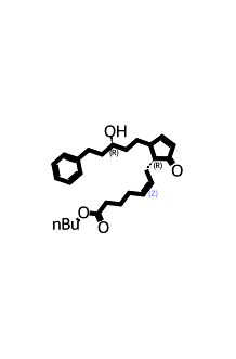 CCCCOC(=O)CCC/C=C\C[C@H]1C(=O)C=CC1CC[C@@H](O)CCc1ccccc1